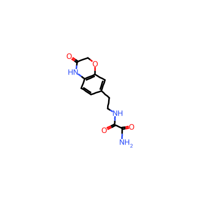 NC(=O)C(=O)NCCc1ccc2c(c1)OCC(=O)N2